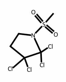 CS(=O)(=O)N1CCC(Cl)(Cl)C1(Cl)Cl